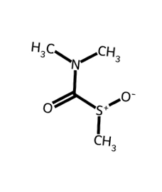 CN(C)C(=O)[S+](C)[O-]